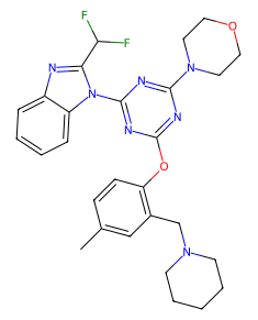 Cc1ccc(Oc2nc(N3CCOCC3)nc(-n3c(C(F)F)nc4ccccc43)n2)c(CN2CCCCC2)c1